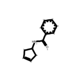 O=C(NC1CC=CC1)c1ccccc1